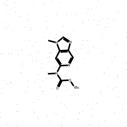 CN(C(=O)OC(C)(C)C)c1cc2c(cn1)ncn2C